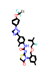 C=C(C)C(F)COCc1ccc(C)cc1N1C(=O)CS/C1=N\C(=O)Nc1ccc(-c2ncn(-c3ccc(OC(F)(F)CC)cc3)n2)cc1C